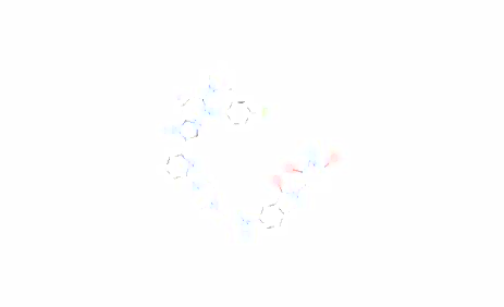 N=C(/C=C\c1ncc(-c2cccc(N3CCN(CCNc4ccc5c(c4)C(=O)N(C4CCC(=O)NC4=O)C5)CC3)n2)[nH]1)N1CCC[C@@H]1c1cccc(F)c1